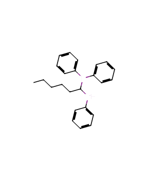 CCCCCC(Pc1ccccc1)P(c1ccccc1)c1ccccc1